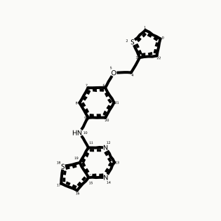 c1csc(COc2ccc(Nc3ncnc4ccsc34)cc2)c1